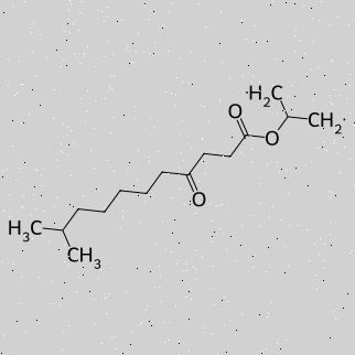 [CH2]C([CH2])OC(=O)CCC(=O)CCCCCC(C)C